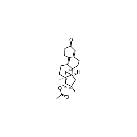 CC(=O)O[C@H]1[C@H](C)C[C@H]2[C@@H]3CCC4=CC(=O)CCC4=C3CC[C@@]21C